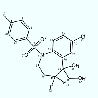 Cc1ccc(S(=O)(=O)N2CCC(F)(F)C(O)(CO)c3cc(Cl)ccc32)cc1